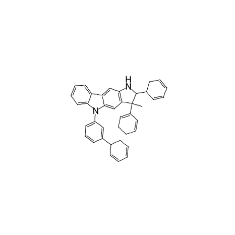 CC1(C2=CCCC=C2)c2cc3c(cc2NC1C1C=CC=CC1)c1ccccc1n3-c1cccc(C2C=CC=CC2)c1